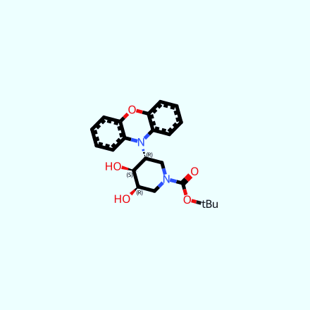 CC(C)(C)OC(=O)N1C[C@@H](O)[C@@H](O)[C@H](N2c3ccccc3Oc3ccccc32)C1